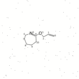 C=CCOC1=NCCCCC1